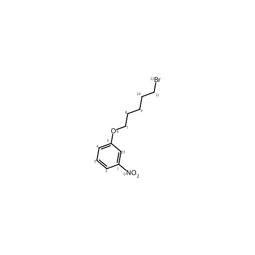 O=[N+]([O-])c1cccc(OCCCCCBr)c1